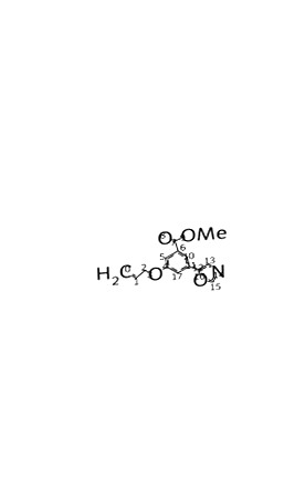 C=CCOc1cc(C(=O)OC)cc(-c2cnco2)c1